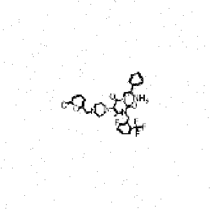 Cc1c(N2CCN(Cc3cccc(=O)o3)CC2)c(=O)n(C[C@@H](N)c2ccccc2)c(=O)n1Cc1c(F)cccc1C(F)(F)F